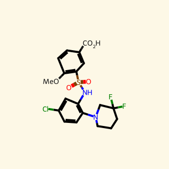 COc1ccc(C(=O)O)cc1S(=O)(=O)Nc1cc(Cl)ccc1N1CCCC(F)(F)C1